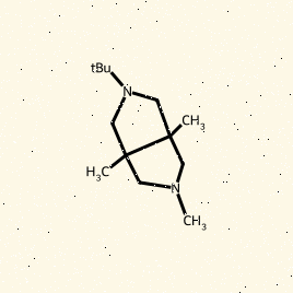 CN1CC2(C)CN(C(C)(C)C)CC2(C)C1